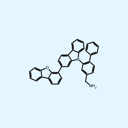 NCc1ccc(-c2ccccc2)c(-n2c3ccccc3c3ccc(-c4cccc5c4oc4ccccc45)cc32)c1